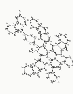 Cc1ccc2c(c1)c1ccccc1n2-c1ccc(-c2c(C#N)c(-c3ccc4sc5ccccc5c4c3)c(-c3cc(-c4ccccc4)nc(-c4ccccc4)c3)c(-c3ccc4sc5ccccc5c4c3)c2-c2ccc3sc4ccccc4c3c2)cc1